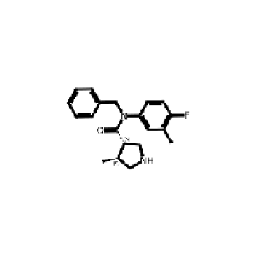 Cc1cc(N(Cc2ccccc2)C(=O)[C@@H]2CNC[C@H]2C)ccc1F